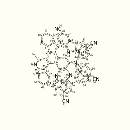 Cc1cc(-c2c(-c3nc4ccccc4s3)c(-n3c4ccccc4c4cc(C#N)ccc43)c(-n3c4ccccc4c4cc(C#N)ccc43)c(-n3c4ccccc4c4cc(C#N)ccc43)c2-n2c3ccccc3c3cc(C#N)ccc32)cc(C)n1